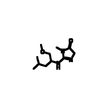 COCC(CC(C)C)NC1=NCC(=O)N1C